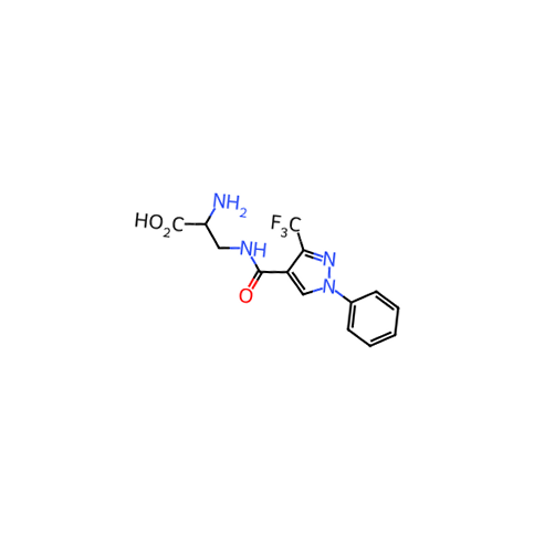 NC(CNC(=O)c1cn(-c2ccccc2)nc1C(F)(F)F)C(=O)O